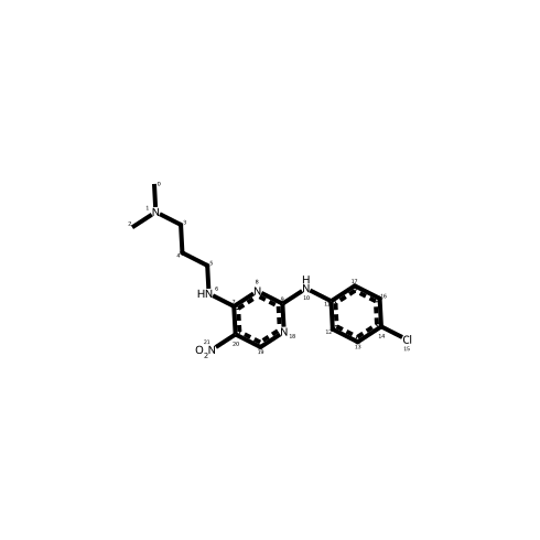 CN(C)CCCNc1nc(Nc2ccc(Cl)cc2)ncc1[N+](=O)[O-]